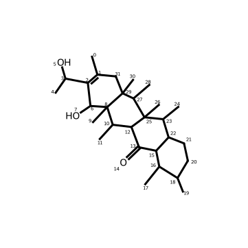 CC1=C(C(C)O)C(O)C2(C)C(C)C3C(=O)C4C(C)C(C)CCC4C(C)C3(C)C(C)C2(C)C1